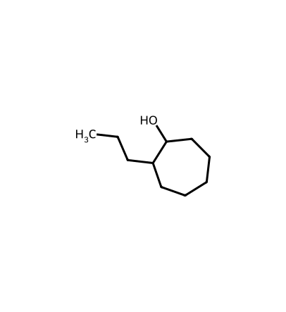 CCCC1CCCCCC1O